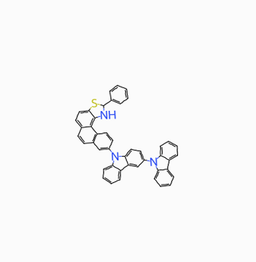 c1ccc(C2Nc3c(ccc4ccc5cc(-n6c7ccccc7c7cc(-n8c9ccccc9c9ccccc98)ccc76)ccc5c34)S2)cc1